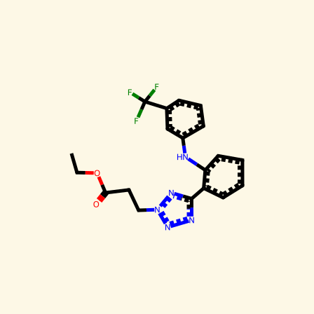 CCOC(=O)CCn1nnc(-c2ccccc2Nc2cccc(C(F)(F)F)c2)n1